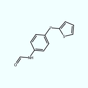 O=CNc1ccc([I+]c2cccs2)cc1